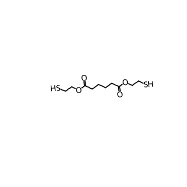 O=C(CCCCC(=O)OCCS)OCCS